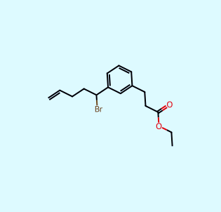 C=CCCC(Br)c1cccc(CCC(=O)OCC)c1